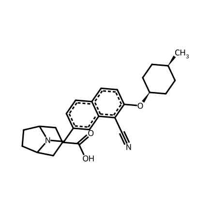 C[C@H]1CC[C@@H](Oc2ccc3ccc(CN4C5CCC4CC(C(=O)O)C5)cc3c2C#N)CC1